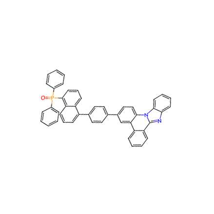 O=P(c1ccccc1)(c1ccccc1)c1cccc2c(-c3ccc(-c4ccc5c(c4)c4ccccc4c4nc6ccccc6n54)cc3)cccc12